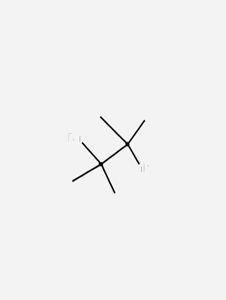 CCC(C)C(C)(C)C(C)(C)[C](C)C